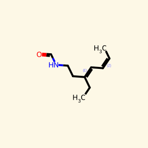 C/C=C\C=C(/CC)CCNC=O